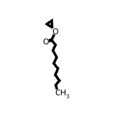 CCCCCCCCCC(=O)OC1CC1